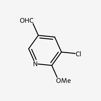 COc1ncc(C=O)cc1Cl